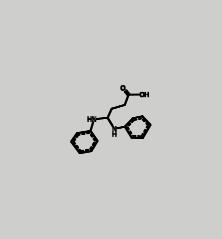 O=C(O)CCC(Nc1ccccc1)Nc1ccccc1